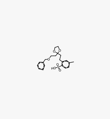 Cc1ccc(S(=O)(=O)O)c(CCC2(CCOCc3ccccc3)OCCO2)c1